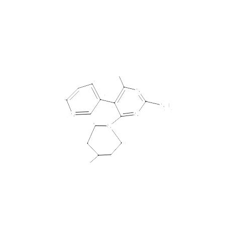 Cc1nc(N)nc(N2CCC(O)CC2)c1-c1cccnc1